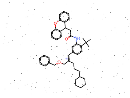 CC(C)(C)c1ccc(/C=C(\CCCC2CCCCC2)COCc2ccccc2)cc1NC(=O)CC1c2ccccc2Oc2ccccc21